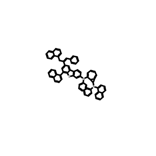 C1=CC=C(N(c2ccccc2)c2ccc3c(c2)sc2c(-c4cccc5ccccc45)cc(/C(=C\c4ccccc4)Cc4cccc5ccccc45)cc23)C2C(=C1)C2N(c1ccccc1)c1cccc2ccccc12